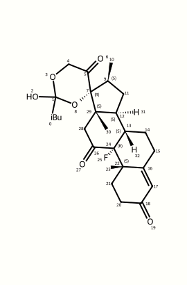 CCC(C)C1(O)OCC(=O)[C@@]2(O1)[C@@H](C)C[C@H]1[C@@H]3CCC4=CC(=O)CC[C@]4(C)[C@@]3(F)C(=O)C[C@@]12C